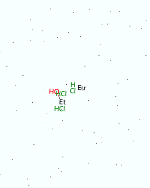 CCO.Cl.Cl.Cl.[Eu]